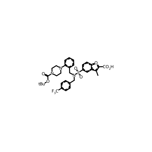 Cc1c(C(=O)O)oc2ccc(S(=O)(=O)N(Cc3ccc(C(F)(F)F)cc3)Cc3ccccc3N3CCN(C(=O)OC(C)(C)C)CC3)cc12